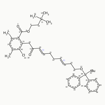 Cc1cc(C)c(C(=O)OCC[Si](C)(C)C)c(CC(=O)/C=C/CC/C=C/CCO[Si](c2ccccc2)(c2ccccc2)C(C)(C)C)c1Cl